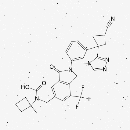 Cn1cnnc1C1(c2cccc(N3Cc4c(cc(CN(C(=O)O)C5(C)CCC5)cc4C(F)(F)F)C3=O)c2)CC(C#N)C1